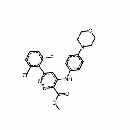 COC(=O)c1nnc(-c2c(F)cccc2Cl)cc1Nc1ccc(N2CCOCC2)cc1